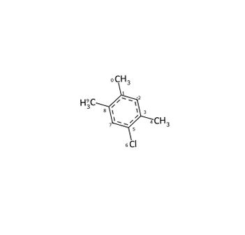 Cc1[c]c(C)c(Cl)cc1C